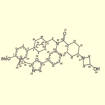 COc1ccc(C23CCC(CN(C(=O)C4CCC(N5CC(O)C5)CC4)c4cc(-c5cnc(C6CC6)o5)ccn4)(CC2)CC3)cc1C